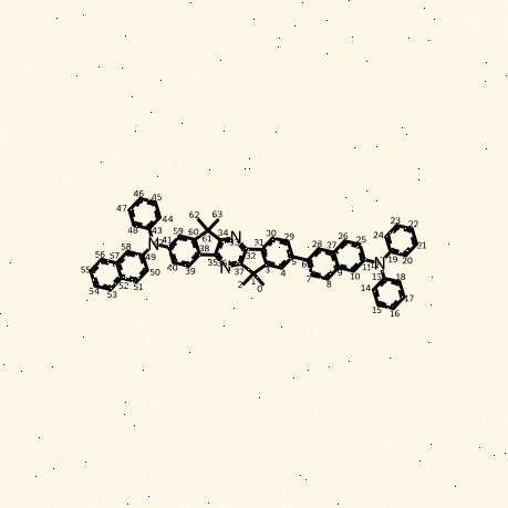 CC1(C)c2cc(-c3ccc4cc(N(c5ccccc5)c5ccccc5)ccc4c3)ccc2-c2nc3c(nc21)-c1ccc(N(c2ccccc2)c2ccc4ccccc4c2)cc1C3(C)C